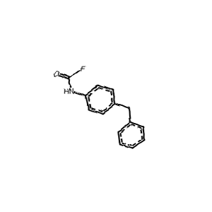 O=C(F)Nc1ccc(Cc2ccccc2)cc1